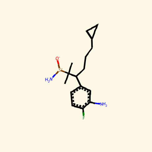 CC(C)(C(CCCC1CC1)c1ccc(F)c(N)c1)[S+](N)[O-]